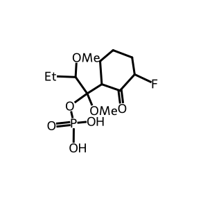 CCC(OC)C(OC)(OP(=O)(O)O)C1CCCC(F)C1=O